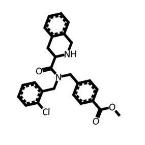 COC(=O)c1ccc(CN(Cc2ccccc2Cl)C(=O)C2Cc3ccccc3CN2)cc1